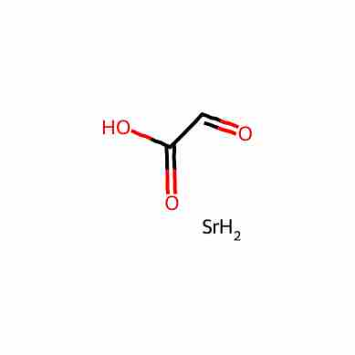 O=CC(=O)O.[SrH2]